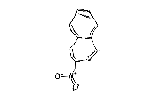 O=[N+]([O-])c1c[c]c2ccccc2c1